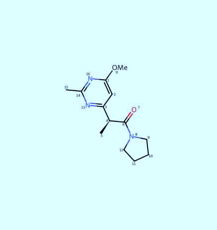 COc1cc([C@H](C)C(=O)N2CCCC2)nc(C)n1